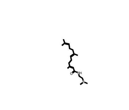 CC(C)=CCCC(C)=CCCC(C)=CC(=O)NCCN(C)C